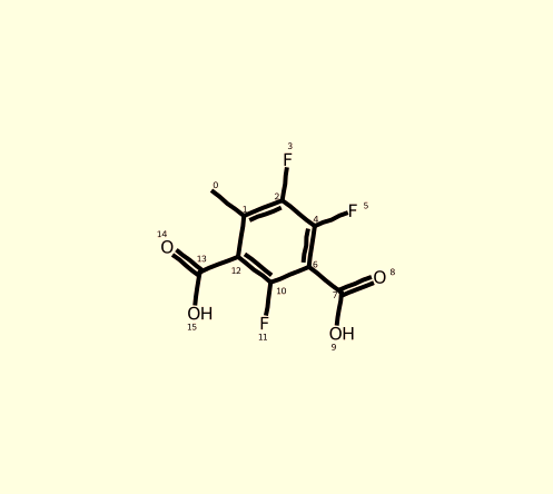 Cc1c(F)c(F)c(C(=O)O)c(F)c1C(=O)O